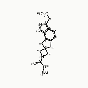 CCOC(=O)Cc1noc2c3c(ccc12)CC1(C3)CN(C(=O)OC(C)(C)C)C1